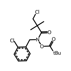 CC(C)(C)C(=O)ON(Cc1ccccc1Cl)C(=O)C(C)(C)CCl